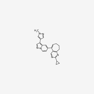 Cn1cc(-c2cnn3ccc(C4=CCCCc5nc(C6CC6)ncc54)cc23)cn1